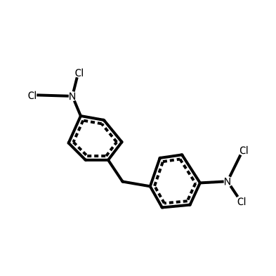 ClN(Cl)c1ccc(Cc2ccc(N(Cl)Cl)cc2)cc1